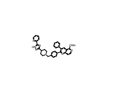 COc1nccc2nc(-c3ccc(CN4CCC(c5n[nH]c(-c6ccccn6)n5)CC4)cc3)c(-c3ccccc3)cc12